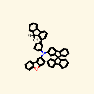 CCC1(C)c2ccccc2-c2cccc(-c3cccc(N(c4ccc5c(c4)C4(c6ccccc6-c6ccccc64)c4ccccc4-5)c4ccc5oc6ccccc6c5c4)c3)c21